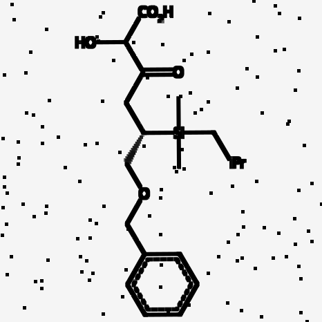 CC(C)C[Si](C)(C)[C@H](COCc1ccccc1)CC(=O)C(O)C(=O)O